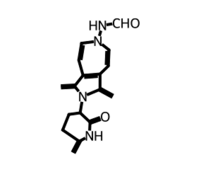 C=C1CCC(n2c(=C)c3c(c2=C)C=CN(NC=O)C=C3)C(=O)N1